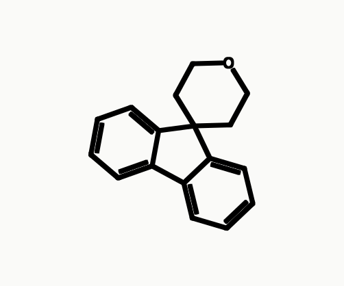 c1ccc2c(c1)-c1ccccc1C21CCOCC1